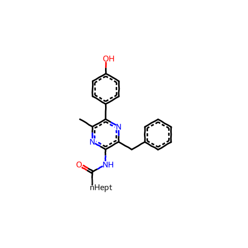 CCCCCCCC(=O)Nc1nc(C)c(-c2ccc(O)cc2)nc1Cc1ccccc1